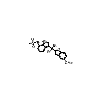 CCC(CC)(c1cc2cc(OC)ccc2o1)c1c[nH]c2c(NS(C)(=O)=O)cccc12